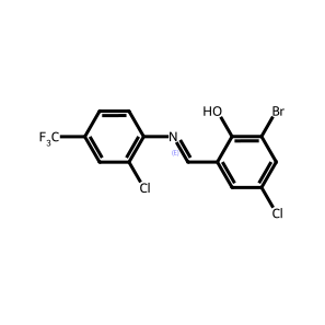 Oc1c(Br)cc(Cl)cc1/C=N/c1ccc(C(F)(F)F)cc1Cl